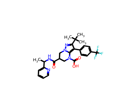 CC(NC(=O)C1CN(C(=O)O)c2c(-c3ccc(C(F)(F)F)cc3)c(C(C)(C)C)nn2C1)c1ccccn1